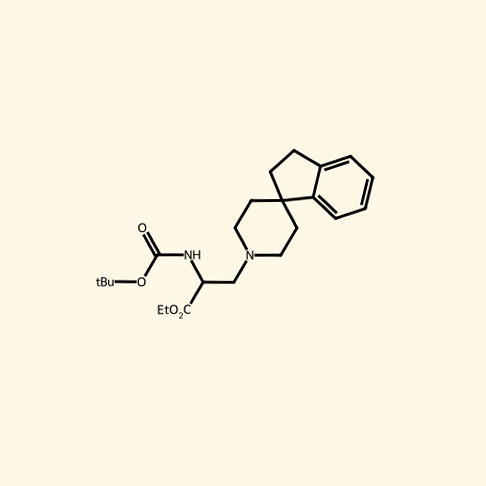 CCOC(=O)C(CN1CCC2(CCc3ccccc32)CC1)NC(=O)OC(C)(C)C